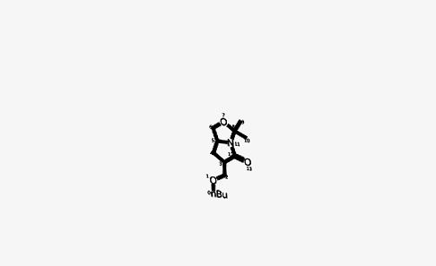 CCCCOCC1CC2COC(C)(C)N2C1=O